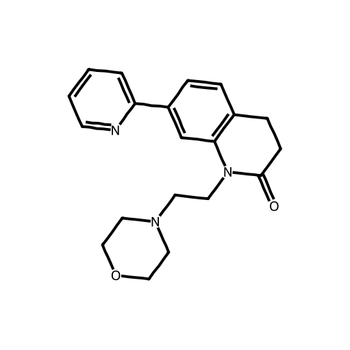 O=C1CCc2ccc(-c3ccccn3)cc2N1CCN1CCOCC1